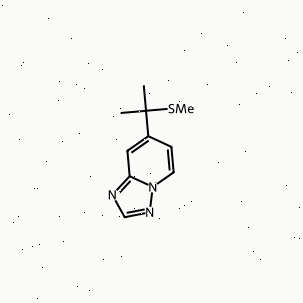 CSC(C)(C)c1ccn2ncnc2c1